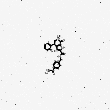 Cc1ccccc1-c1cn(C)c(=O)c2[nH]c(C(=O)NCc3ccc(C(=O)NO)cc3)cc12